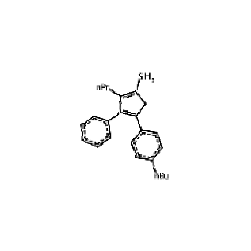 CCCCc1ccc(C2=C(c3ccccc3)C(CCC)=C([SiH3])C2)cc1